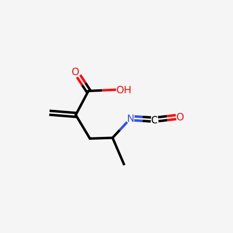 C=C(CC(C)N=C=O)C(=O)O